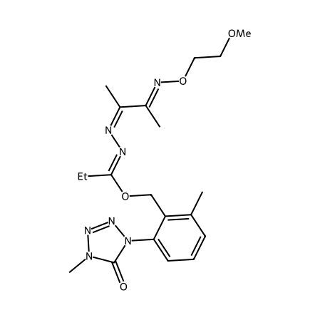 CCC(=N/N=C(C)\C(C)=N\OCCOC)OCc1c(C)cccc1-n1nnn(C)c1=O